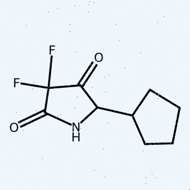 O=C1NC(C2CCCC2)C(=O)C1(F)F